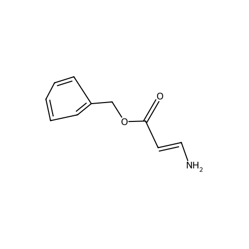 N/C=C/C(=O)OCc1ccccc1